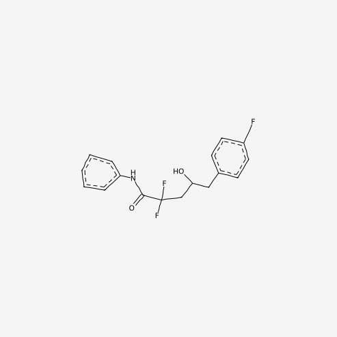 O=C(Nc1ccccc1)C(F)(F)CC(O)Cc1ccc(F)cc1